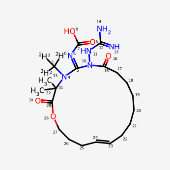 [2H]C([2H])([2H])N1C(=NC(=O)O)N(NC(=N)N)C(=O)CCCCCC/C=C/CCCOC(=O)C1(C)C